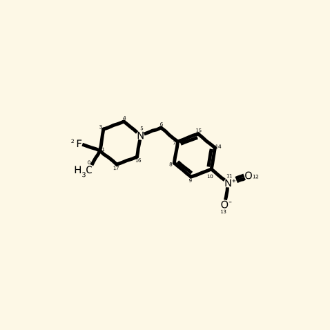 CC1(F)CCN(Cc2ccc([N+](=O)[O-])cc2)CC1